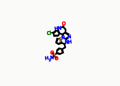 NS(=O)(=O)c1ccc(CC(Nc2ncc3c(n2)-c2ccc(Cl)cc2NC(=O)C3)c2cccs2)cc1